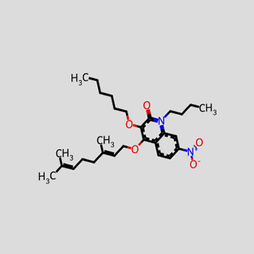 CCCCCCOc1c(OC/C=C(\C)CCC=C(C)C)c2ccc([N+](=O)[O-])cc2n(CCCC)c1=O